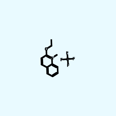 CCOc1ccc2ccccc2[n+]1C.F[B-](F)(F)F